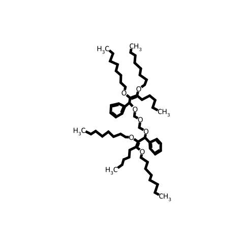 CCCCCCCCOC(CCCCC)=C(OCCCCCCCC)C(OCOCOC(C(OCCCCCCCC)=C(CCCCC)OCCCCCCCC)c1ccccc1)c1ccccc1